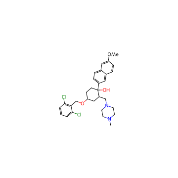 COc1ccc2cc(C3(O)CCC(OCc4c(Cl)cccc4Cl)CC3CN3CCN(C)CC3)ccc2c1